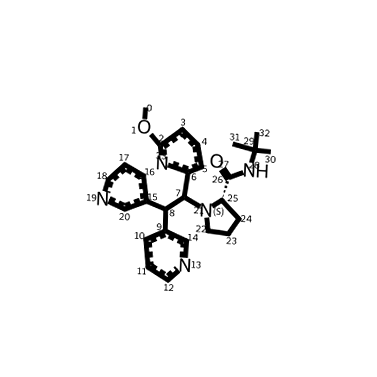 COc1cccc(C(C(c2cccnc2)c2cccnc2)N2CCC[C@H]2C(=O)NC(C)(C)C)n1